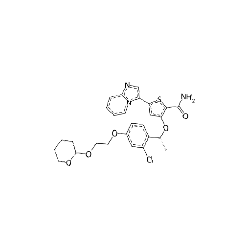 C[C@@H](Oc1cc(-c2cnc3ccccn23)sc1C(N)=O)c1ccc(OCCOC2CCCCO2)cc1Cl